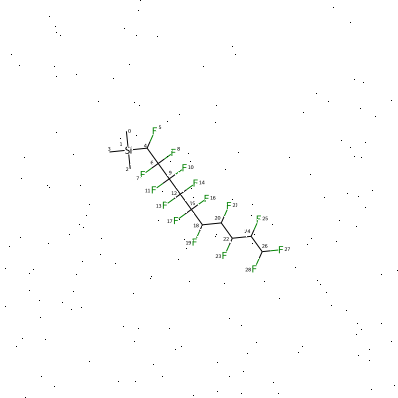 C[Si](C)(C)C(F)C(F)(F)C(F)(F)C(F)(F)C(F)(F)C(F)C(F)C(F)C(F)C(F)F